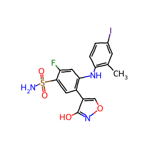 Cc1cc(I)ccc1Nc1cc(F)c(S(N)(=O)=O)cc1-c1conc1O